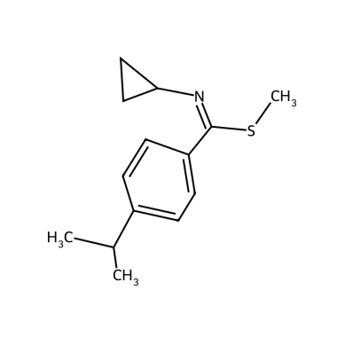 CS/C(=N/C1CC1)c1ccc(C(C)C)cc1